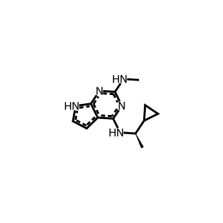 CNc1nc(N[C@H](C)C2CC2)c2cc[nH]c2n1